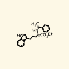 CCOC(=O)[C@H](CCCc1c[nH]c2ccccc12)N[C@H](C)c1ccccc1